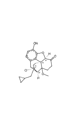 COC12CCC(=O)[C@@H]3Oc4c(O)ccc5c4[C@@]31CC[N@+]([O-])(CC1CC1)[C@@H]2C5